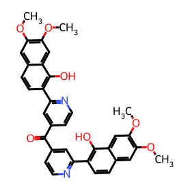 COc1cc2ccc(-c3cc(C(=O)c4ccnc(-c5ccc6cc(OC)c(OC)cc6c5O)c4)ccn3)c(O)c2cc1OC